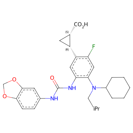 CC(C)CN(c1cc(F)c([C@@H]2C[C@@H]2C(=O)O)cc1NC(=O)Nc1ccc2c(c1)OCO2)C1CCCCC1